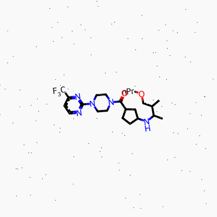 CCCOCC(C)C(C)NC1CCC(C(=O)N2CCN(c3nccc(C(F)(F)F)n3)CC2)C1